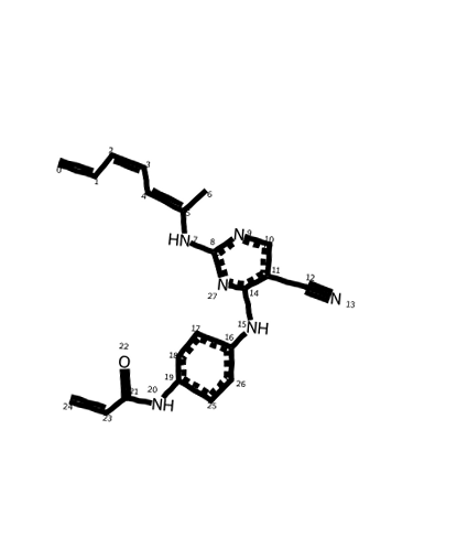 C=C/C=C\C=C(/C)Nc1ncc(C#N)c(Nc2ccc(NC(=O)C=C)cc2)n1